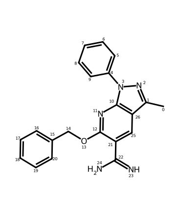 Cc1nn(-c2ccccc2)c2nc(OCc3ccccc3)c(C(=N)N)cc12